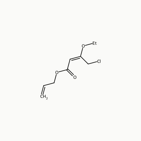 C=CCOC(=O)/C=C(\CCl)OCC